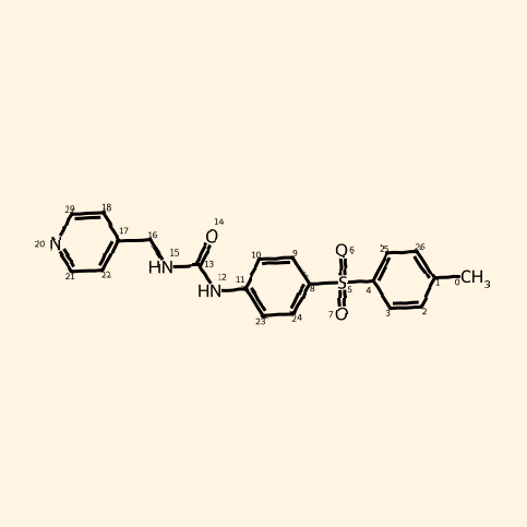 Cc1ccc(S(=O)(=O)c2ccc(NC(=O)NCc3ccncc3)cc2)cc1